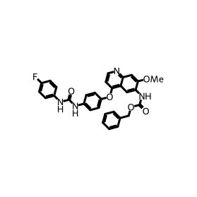 COc1cc2nccc(Oc3ccc(NC(=O)Nc4ccc(F)cc4)cc3)c2cc1NC(=O)OCc1ccccc1